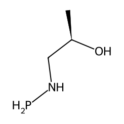 C[C@@H](O)CNP